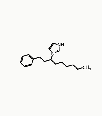 CCCCCCC(CCc1ccccc1)[n+]1cc[nH]c1